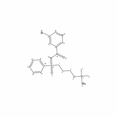 CC(C)(C)[Si](C)(C)OCCCS(=O)(=NC(=O)c1cncc(Br)c1)c1ccccc1